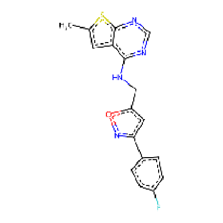 Cc1cc2c(NCc3cc(-c4ccc(F)cc4)no3)ncnc2s1